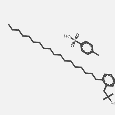 CCCCCCCCCCCCCCCCCCc1ccccc1CC(C)(C)N.Cc1ccc(S(=O)(=O)O)cc1